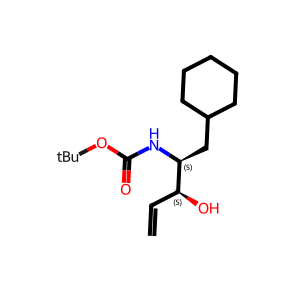 C=C[C@H](O)[C@H](CC1CCCCC1)NC(=O)OC(C)(C)C